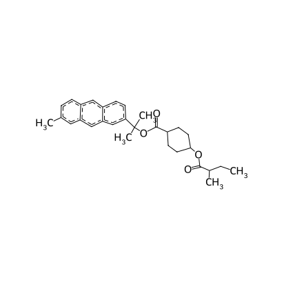 CCC(C)C(=O)OC1CCC(C(=O)OC(C)(C)c2ccc3cc4ccc(C)cc4cc3c2)CC1